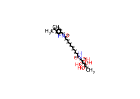 CC[C@H](O)[C@H](O)[C@@H](O)[C@H](O)CNC(=O)CCCCCCCCCCC(=O)NCc1ccc(C(C)C)cc1